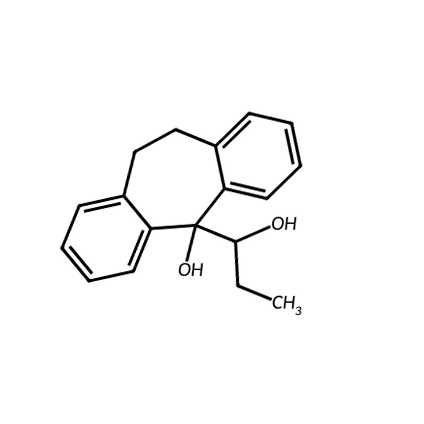 CCC(O)C1(O)c2ccccc2CCc2ccccc21